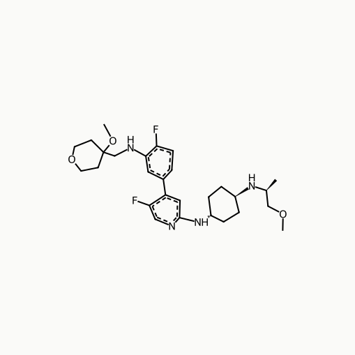 COC[C@H](C)N[C@H]1CC[C@H](Nc2cc(-c3ccc(F)c(NCC4(OC)CCOCC4)c3)c(F)cn2)CC1